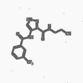 N#CCCNC(=O)c1n[nH]cc1NC(=O)c1cccc(C(F)(F)F)c1